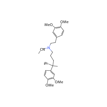 CC#N.COc1ccc(CCN(C)CCCC(C)(c2ccc(OC)c(OC)c2)C(C)C)cc1OC